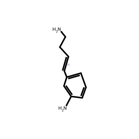 NCC/C=C/c1cccc(N)c1